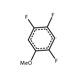 COc1cc(F)c(F)[c]c1F